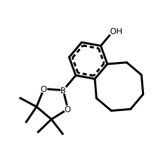 CC1(C)OB(c2ccc(O)c3c2CCCCCC3)OC1(C)C